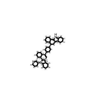 C/C=C(/c1ccc(-c2cc3c4ccccc4[nH]c3c3ccccc23)cc1)c1ccccc1-c1cc2ccccc2n1-c1cccnc1